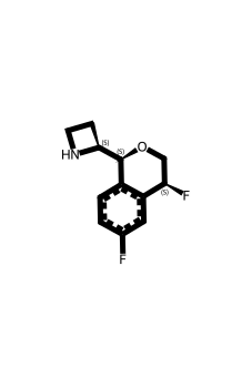 Fc1ccc2c(c1)[C@H](F)CO[C@@H]2[C@@H]1CCN1